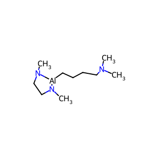 CN(C)CCC[CH2][Al]1[N](C)CC[N]1C